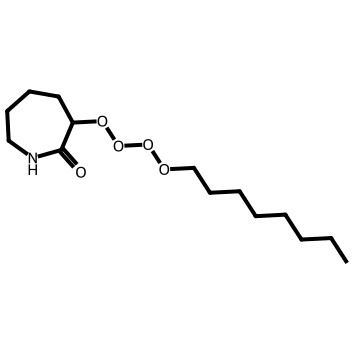 CCCCCCCCOOOOC1CCCCNC1=O